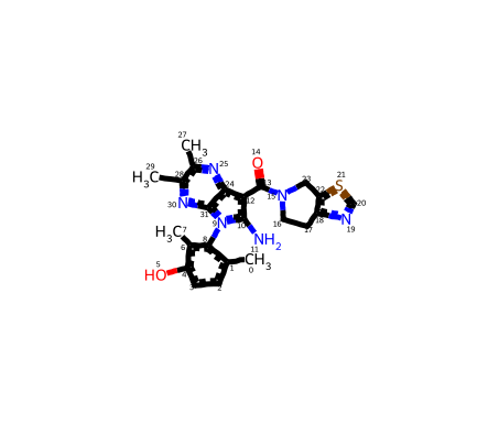 Cc1ccc(O)c(C)c1-n1c(N)c(C(=O)N2CCc3ncsc3C2)c2nc(C)c(C)nc21